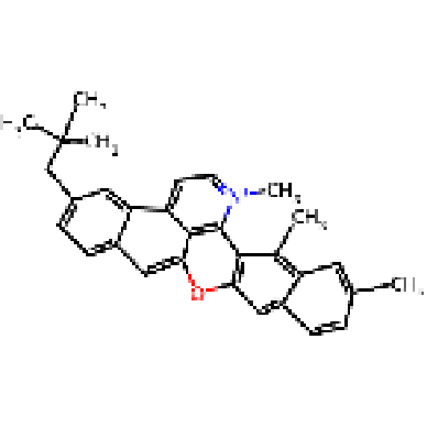 Cc1ccc2cc3c(c(C)c2c1)-c1c2c(cc4ccc(CC(C)(C)C)cc4c2cc[n+]1C)O3